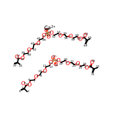 C=C(C)C(=O)OCCOCCOCCOP(=O)([O-])OCCOCCOCCOC(=O)C(=C)C.C=C(C)C(=O)OCCOCCOCCOP(=O)([O-])OCCOCCOCCOC(=O)C(=C)C.[Ca+2]